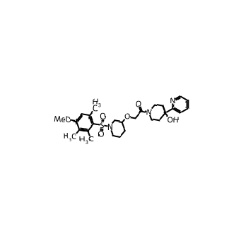 COc1cc(C)c(S(=O)(=O)N2CCCC(OCC(=O)N3CCC(O)(c4ccccn4)CC3)C2)c(C)c1C